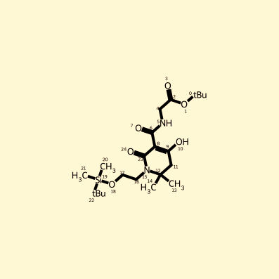 CC(C)(C)OC(=O)CNC(=O)C1=C(O)CC(C)(C)N(CCO[Si](C)(C)C(C)(C)C)C1=O